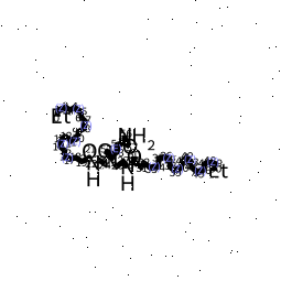 CC/C=C\C/C=C\C/C=C\C/C=C\C/C=C\C/C=C\CCC(=O)NCCN(CCNC(=O)CC/C=C\C/C=C\C/C=C\C/C=C\C/C=C\C/C=C\CC)C(=O)/C=C/C(N)=O